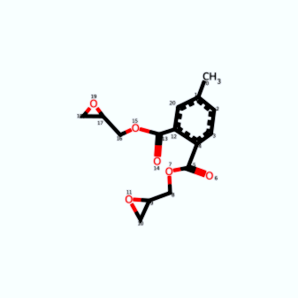 Cc1ccc(C(=O)OCC2CO2)c(C(=O)OCC2CO2)c1